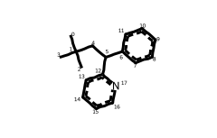 CC(C)(C)CC(c1ccccc1)c1ccccn1